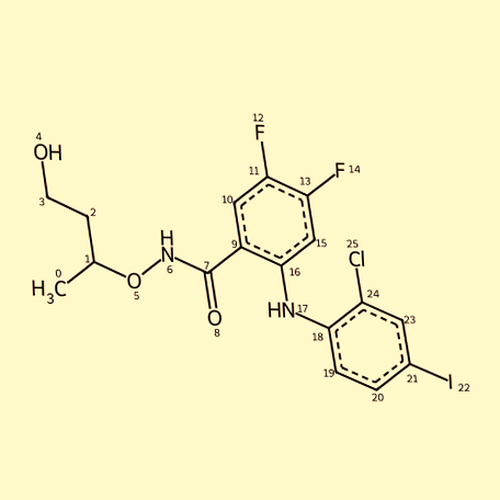 CC(CCO)ONC(=O)c1cc(F)c(F)cc1Nc1ccc(I)cc1Cl